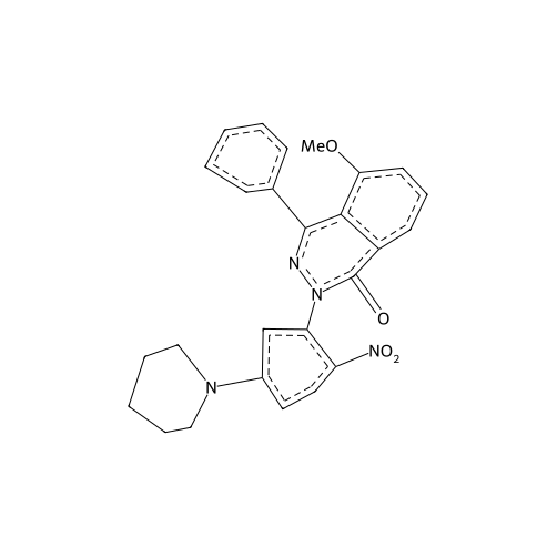 COc1cccc2c(=O)n(-c3cc(N4CCCCC4)ccc3[N+](=O)[O-])nc(-c3ccccc3)c12